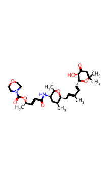 CC(C=C[C@H]1OC(C)(C)CC(=O)[C@@H]1O)=CC[C@@H]1O[C@H](C)[C@H](NC(=O)C=C[C@H](C)OC(=O)N2CCOCC2)C[C@@H]1C